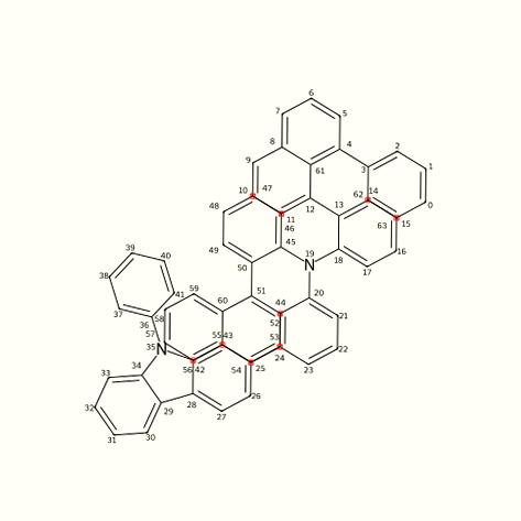 c1ccc(-c2cccc3cccc(-c4ccccc4N(c4cccc(-c5ccc6c7ccccc7n(-c7ccccc7)c6c5)c4)c4ccccc4-c4cccc5ccccc45)c23)cc1